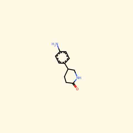 Nc1ccc(C2CCC(=O)NC2)cc1